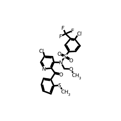 COCN(c1cc(Cl)cnc1C(=O)c1ccccc1SC)S(=O)(=O)c1ccc(Cl)c(C(F)(F)F)c1